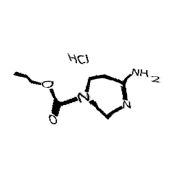 CCOC(=O)N1CCN=C(N)CC1.Cl